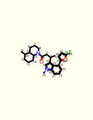 CC(CC(=O)N1CCCC2C(C)CCCC21)c1cn(C)c2cccc(-c3ccc(F)o3)c12